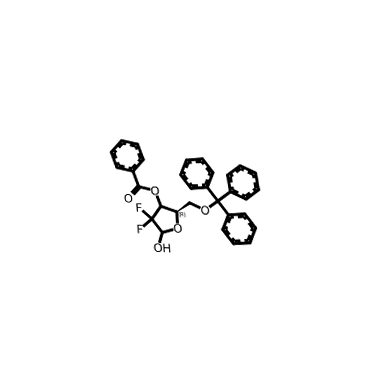 O=C(OC1[C@@H](COC(c2ccccc2)(c2ccccc2)c2ccccc2)OC(O)C1(F)F)c1ccccc1